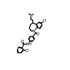 CN(C)CCC1CCCN(C(=O)c2ccc(NC(=O)c3ccccc3Cl)cc2)c2ccc(Cl)cc21